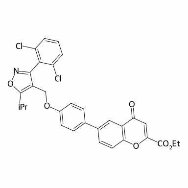 CCOC(=O)c1cc(=O)c2cc(-c3ccc(OCc4c(-c5c(Cl)cccc5Cl)noc4C(C)C)cc3)ccc2o1